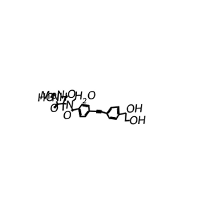 CNC(=O)C(C)(C(=O)NO)N(C)C(=O)c1ccc(C#Cc2ccc(C(O)CO)cc2)cc1.O